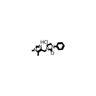 Cc1c(CN2CCN(c3ccccc3)C2=O)ncn1C.Cl